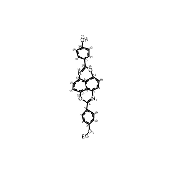 CCOc1ccc(C2=Nc3ccc4c5c(ccc(c35)O2)N=C(c2ccc(O)cc2)O4)cc1